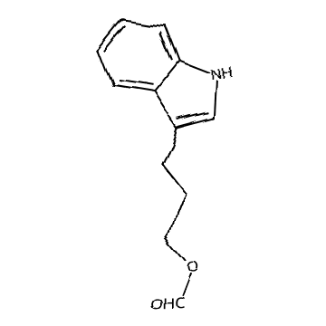 O=COCCCc1c[nH]c2ccccc12